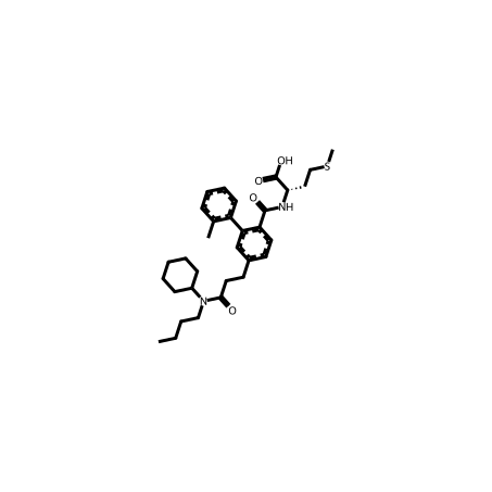 CCCCN(C(=O)CCc1ccc(C(=O)N[C@@H](CCSC)C(=O)O)c(-c2ccccc2C)c1)C1CCCCC1